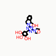 OCC1c2ccccc2CCN1c1nc(-c2cc(O)c(O)c(O)c2)nc(N2CCOCC2)n1